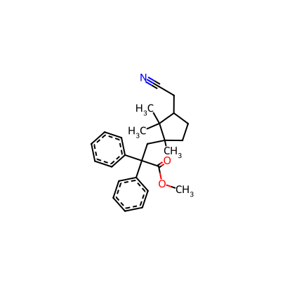 COC(=O)C(CC1(C)CCC(CC#N)C1(C)C)(c1ccccc1)c1ccccc1